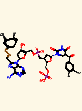 CC(=O)c1ccc(SSCc2nc3c(N)ncnc3n2[C@H]2C[C@H](O)[C@@H](COP(=O)(O)C[C@H]3C[C@H](n4cc(C(=O)c5ccc(C(C)=O)c(N=O)c5)c(=O)[nH]c4=O)O[C@@H]3COP(=O)(O)O)O2)cc1N=O